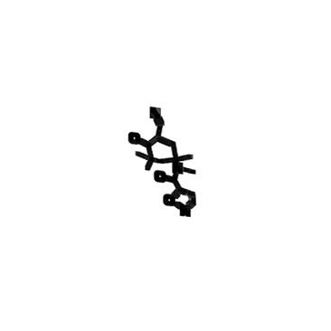 CN(C(=O)c1ccno1)C1(C)C=C(C#N)C(=O)C(C)(C)C1